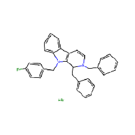 Br.Fc1ccc(Cn2c3c(c4ccccc42)C=CN(Cc2ccccc2)C3Cc2ccccc2)cc1